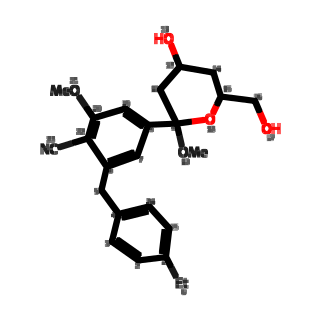 CCc1ccc(Cc2cc(C3(OC)CC(O)CC(CO)O3)cc(OC)c2C#N)cc1